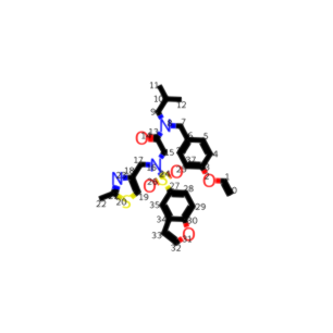 C=COc1ccc(CN(CC(C)C)C(=O)CN(Cc2csc(C)n2)S(=O)(=O)c2ccc3occc3c2)cc1